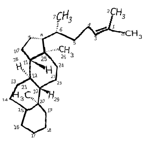 CC(C)=CCC[C@@H](C)[C@H]1CC[C@H]2[C@@H]3CCC4C[CH]CC[C@]4(C)[C@H]3CC[C@]12C